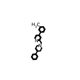 Cc1cccc(-c2ccnc(CN3CC=C(c4ccccc4)CC3)c2)c1